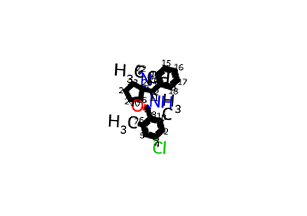 Cc1cc(Cl)cc(C)c1C(=O)NC(c1ccccc1)C1(N(C)C)CCCC1